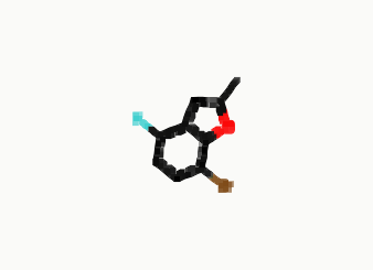 Cc1cc2c(F)ccc(Br)c2o1